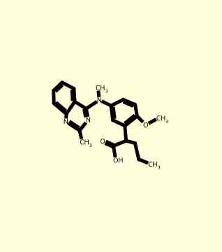 CCCC(C(=O)O)c1cc(N(C)c2nc(C)nc3ccccc23)ccc1OC